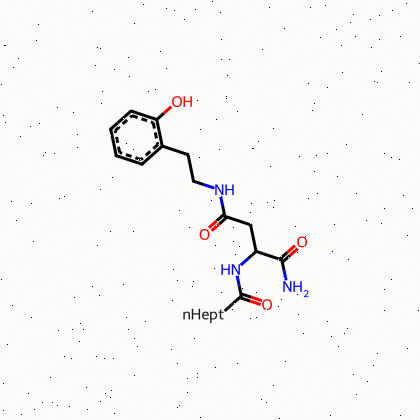 CCCCCCCC(=O)NC(CC(=O)NCCc1ccccc1O)C(N)=O